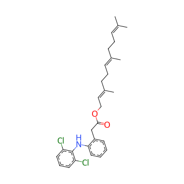 CC(C)=CCC/C(C)=C/CC/C(C)=C/COC(=O)Cc1ccccc1Nc1c(Cl)cccc1Cl